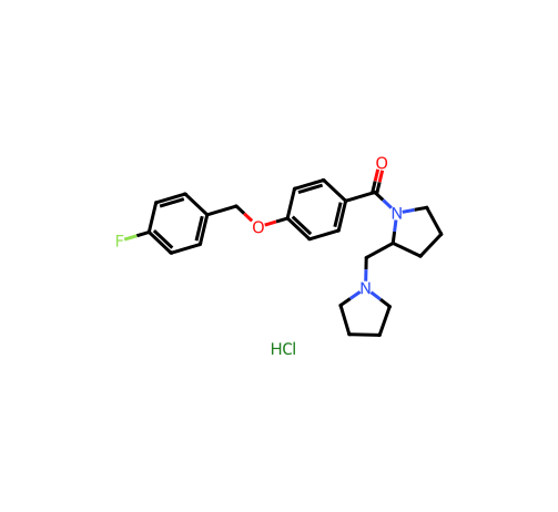 Cl.O=C(c1ccc(OCc2ccc(F)cc2)cc1)N1CCCC1CN1CCCC1